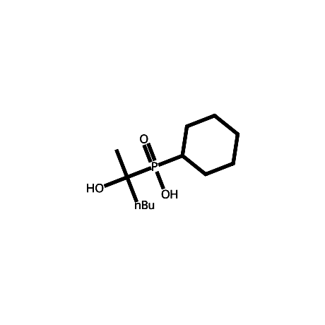 CCCCC(C)(O)P(=O)(O)C1CCCCC1